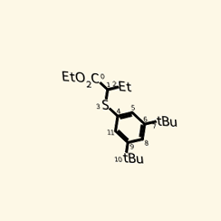 CCOC(=O)C(CC)Sc1cc(C(C)(C)C)cc(C(C)(C)C)c1